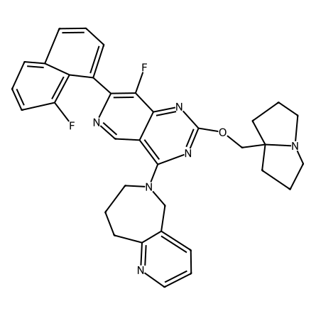 Fc1c(-c2cccc3cccc(F)c23)ncc2c(N3CCCc4ncccc4C3)nc(OCC34CCCN3CCC4)nc12